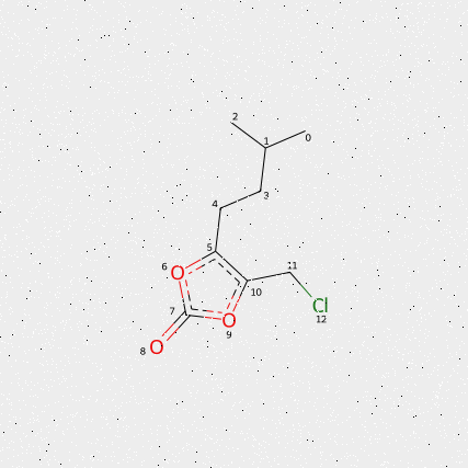 CC(C)CCc1oc(=O)oc1CCl